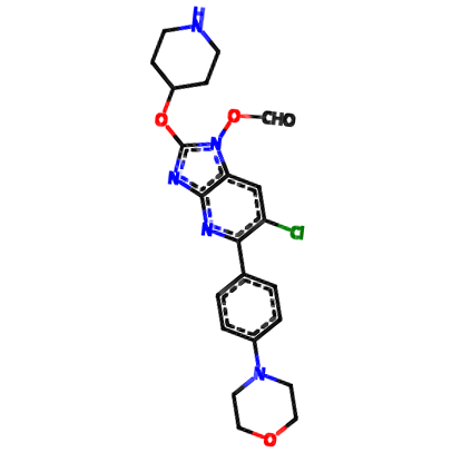 O=COn1c(OC2CCNCC2)nc2nc(-c3ccc(N4CCOCC4)cc3)c(Cl)cc21